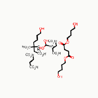 CC(CCCCO)(CC(=O)O)C(=O)O.CCCC(O)O.O=C(CCC(=O)OCCCCO)OCCCCO.O=C(O)CCC(=O)O.O=C(O)CCC(=O)O